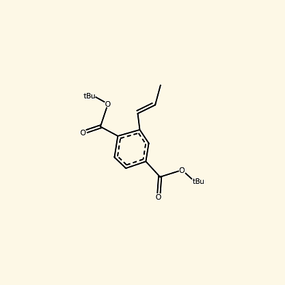 CC=Cc1cc(C(=O)OC(C)(C)C)ccc1C(=O)OC(C)(C)C